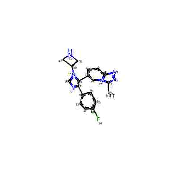 CC(C)c1nnc2ccc(-c3c(-c4ccc(F)cc4)ncn3C3CNC3)cn12